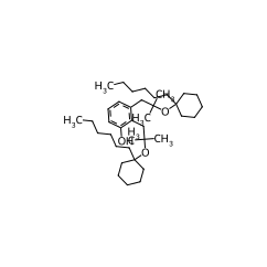 CCCCCCC1(OC(C)(C)Cc2cccc(O)c2CC(C)(C)OC2(CCCCCC)CCCCC2)CCCCC1